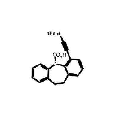 CCCCCC#Cc1cccc2c1N(C(=O)O)c1ccccc1CC2